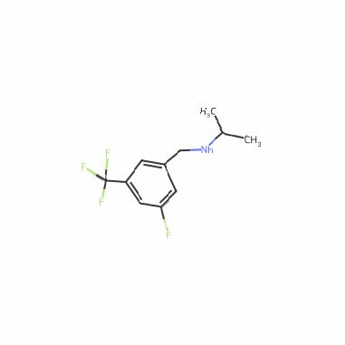 CC(C)NCc1cc(F)cc(C(F)(F)F)c1